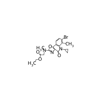 CCOC(=O)CN(C)c1nc2c(=O)n(C3CC3)c3c(C)c(Br)ccc3c2o1